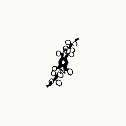 CCOC(=O)C(=O)On1c(=O)c2cc3c(=O)n(OC(=O)C(=O)OCC)c(=O)c3cc2c1=O